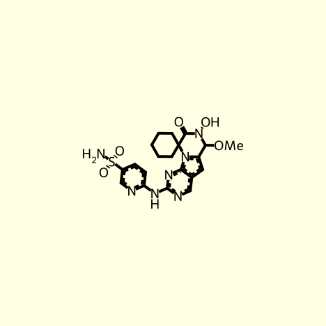 COC1c2cc3cnc(Nc4ccc(S(N)(=O)=O)cn4)nc3n2C2(CCCCC2)C(=O)N1O